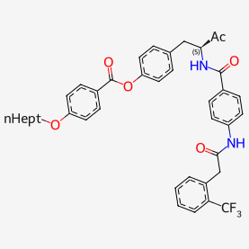 CCCCCCCOc1ccc(C(=O)Oc2ccc(C[C@H](NC(=O)c3ccc(NC(=O)Cc4ccccc4C(F)(F)F)cc3)C(C)=O)cc2)cc1